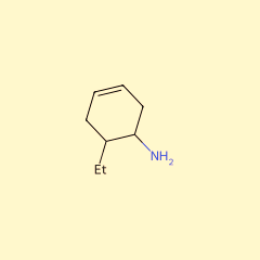 CCC1CC=CCC1N